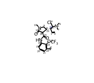 C=C/C(=C(/Cl)N(C)C)[C@H]1CN(C)C(=O)[C@@H]1C(=O)Nc1cccc(F)c1OC(F)(F)F